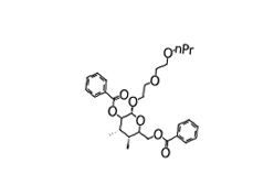 CCCOCCOCCO[C@H]1OC(COC(=O)c2ccccc2)[C@@H](C)[C@H](C)C1OC(=O)c1ccccc1